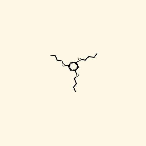 CCCCOc1[c]c(OCCCC)cc(OCCCC)[c]1